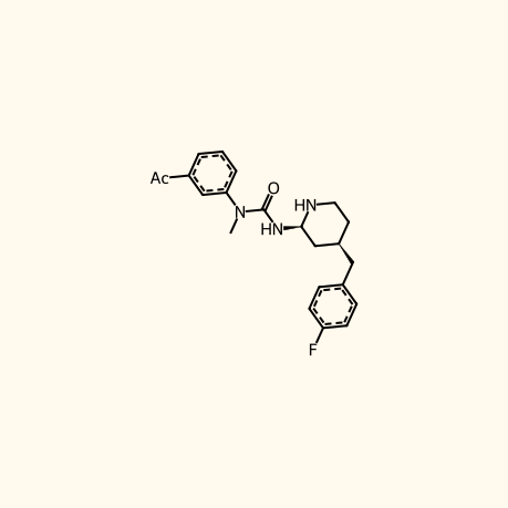 CC(=O)c1cccc(N(C)C(=O)N[C@@H]2C[C@H](Cc3ccc(F)cc3)CCN2)c1